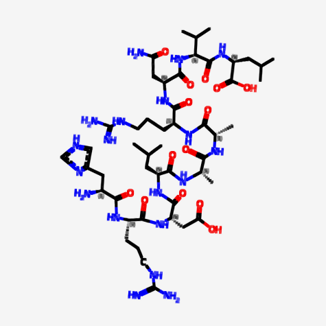 CC(C)C[C@H](NC(=O)[C@@H](NC(=O)[C@H](CC(N)=O)NC(=O)[C@H](CCCNC(=N)N)NC(=O)[C@H](C)NC(=O)[C@H](C)NC(=O)[C@H](CC(C)C)NC(=O)[C@H](CC(=O)O)NC(=O)[C@H](CCCNC(=N)N)NC(=O)[C@@H](N)Cc1c[nH]cn1)C(C)C)C(=O)O